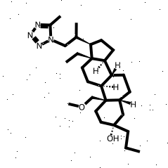 CCC[C@@]1(O)CC[C@@]2(COC)[C@H](CC[C@@H]3[C@@H]2CC[C@]2(CC)[C@@H](C(C)Cn4nnnc4C)CC[C@@H]32)C1